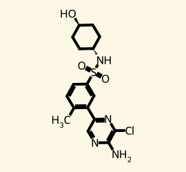 Cc1ccc(S(=O)(=O)N[C@H]2CC[C@H](O)CC2)cc1-c1cnc(N)c(Cl)n1